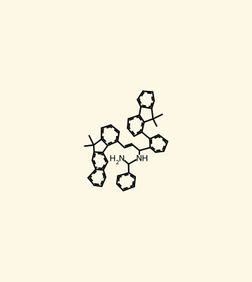 CC1(C)c2cc3ccccc3cc2-c2c(/C=C/C(NC(N)c3ccccc3)c3ccccc3-c3cccc4c3C(C)(C)c3ccccc3-4)cccc21